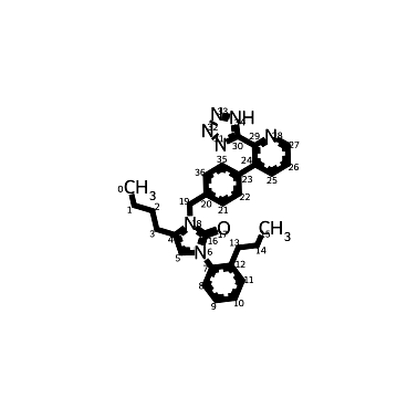 CCCCc1cn(-c2ccccc2CCC)c(=O)n1Cc1ccc(-c2cccnc2-c2nnn[nH]2)cc1